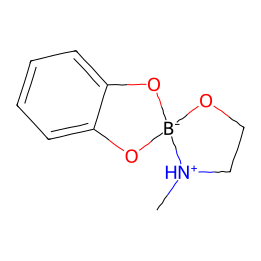 C[NH+]1CCO[B-]12Oc1ccccc1O2